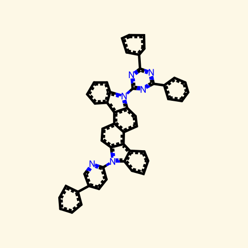 c1ccc(-c2ccc(-n3c4ccccc4c4c5ccc6c(c5ccc43)c3ccccc3n6-c3nc(-c4ccccc4)nc(-c4ccccc4)n3)nc2)cc1